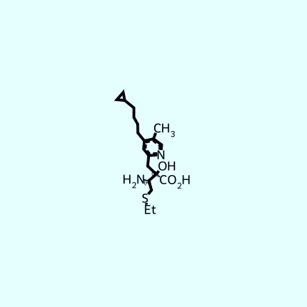 CCSC[C@H](N)[C@](O)(Cc1cc(CCCCC2CC2)c(C)cn1)C(=O)O